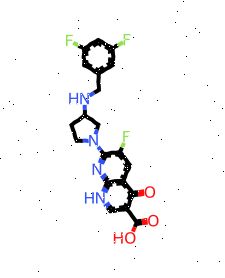 O=C(O)c1c[nH]c2nc(N3CCC(NCc4cc(F)cc(F)c4)C3)c(F)cc2c1=O